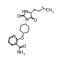 CSCC[C@@H]1NC(=O)N([C@H]2CC[C@H](Oc3ncccc3C(N)=O)CC2)C1=O